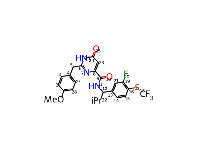 COc1ccc(Cc2nc(C(=O)NC(c3ccc(SC(F)(F)F)c(F)c3)C(C)C)cc(=O)[nH]2)cc1